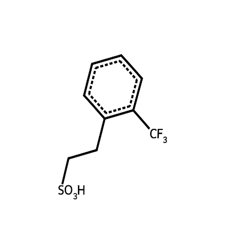 O=S(=O)(O)CCc1ccccc1C(F)(F)F